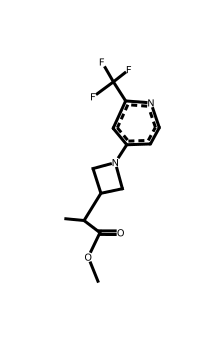 COC(=O)C(C)C1CN(c2ccnc(C(F)(F)F)c2)C1